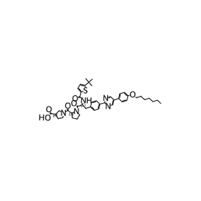 CCCCCCCOc1ccc(-c2cnc(-c3ccc(C[C@H](NC(=O)c4ccc(C(C)(C)C)s4)C(=O)N4CCC[C@H]4C(=O)N4CC[C@@H](C(=O)O)C4)cc3)nc2)cc1